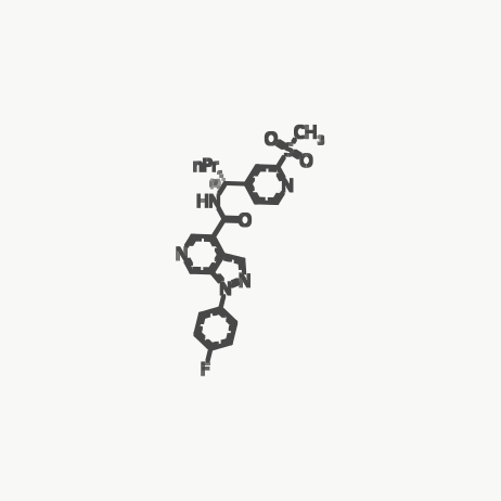 CCC[C@@H](NC(=O)c1cncc2c1cnn2-c1ccc(F)cc1)c1ccnc(S(C)(=O)=O)c1